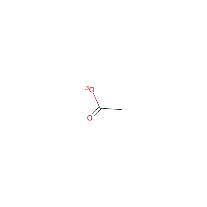 CC(=O)[3O]